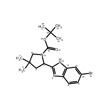 CC1(C)CC(c2nc3ccc(Br)cc3[nH]2)N(C(=O)OC(C)(C)C)C1